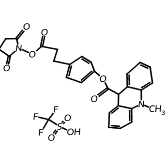 CN1c2ccccc2C(C(=O)Oc2ccc(CCC(=O)ON3C(=O)CCC3=O)cc2)c2ccccc21.O=S(=O)(O)C(F)(F)F